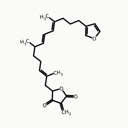 C=C1C(=O)OC(C/C(C)=C/CCC(C)/C=C/C=C(\C)CCCc2ccoc2)C1=O